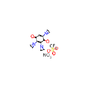 O=C1C=C(N2CC2)C(=O)C(N2CC2)=C1N1CC1.O=[N+]([O-])OS(=O)(=O)C(F)(F)F